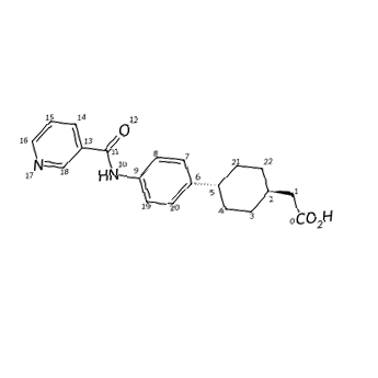 O=C(O)C[C@H]1CC[C@H](c2ccc(NC(=O)c3cccnc3)cc2)CC1